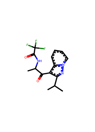 CC(NC(=O)C(F)(F)F)C(=O)c1c(C(C)C)nn2ccccc12